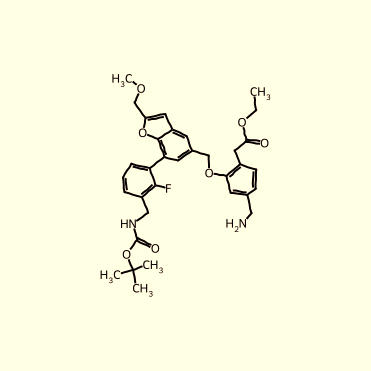 CCOC(=O)Cc1ccc(CN)cc1OCc1cc(-c2cccc(CNC(=O)OC(C)(C)C)c2F)c2oc(COC)cc2c1